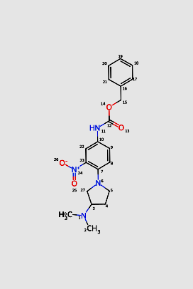 CN(C)C1CCN(c2ccc(NC(=O)OCc3ccccc3)cc2[N+](=O)[O-])C1